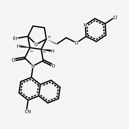 CCC12CC[C@](CCOc3ccc(Cl)cn3)(O1)[C@@H]1C(=O)N(c3ccc(C#N)c4ccccc34)C(=O)[C@@H]12